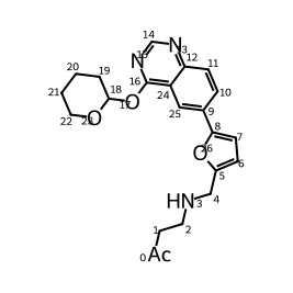 CC(=O)CCNCc1ccc(-c2ccc3ncnc(OC4CCCCO4)c3c2)o1